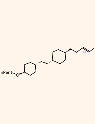 C/C=C/CC[C@H]1CC[C@H](CC[C@H]2CC[C@H](OCCCCC)CC2)CC1